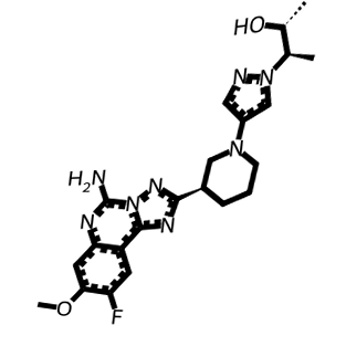 COc1cc2nc(N)n3nc([C@@H]4CCCN(c5cnn([C@H](C)[C@@H](C)O)c5)C4)nc3c2cc1F